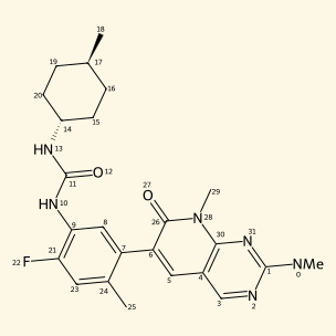 CNc1ncc2cc(-c3cc(NC(=O)N[C@H]4CC[C@H](C)CC4)c(F)cc3C)c(=O)n(C)c2n1